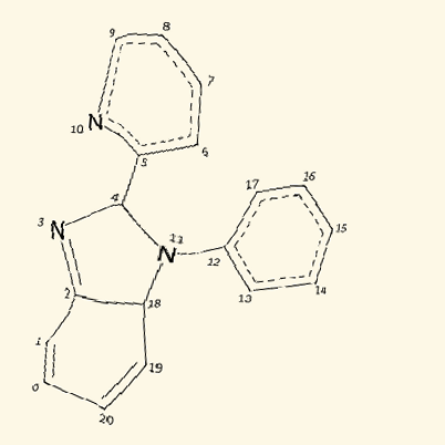 C1=CC2=NC(c3ccccn3)N(c3ccccc3)C2C=C1